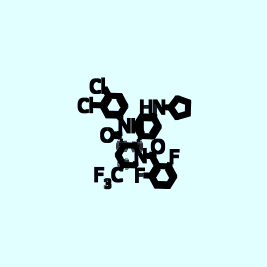 O=C(Nc1ccc(Cl)c(Cl)c1)[C@H]1C[C@@H](C(F)(F)F)CN(C(=O)c2c(F)cccc2F)[C@H]1c1ccc(NC2CCCC2)cc1